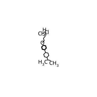 CCC(C)C1CCC(c2ccc(OCCC[SiH](Cl)Cl)cc2)CC1